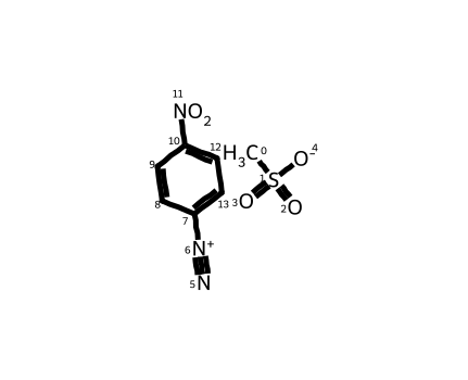 CS(=O)(=O)[O-].N#[N+]c1ccc([N+](=O)[O-])cc1